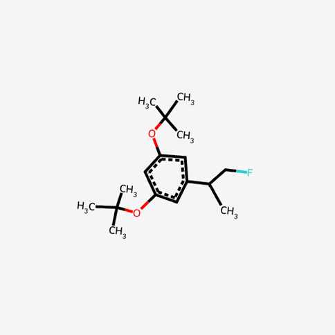 C[C](CF)c1cc(OC(C)(C)C)cc(OC(C)(C)C)c1